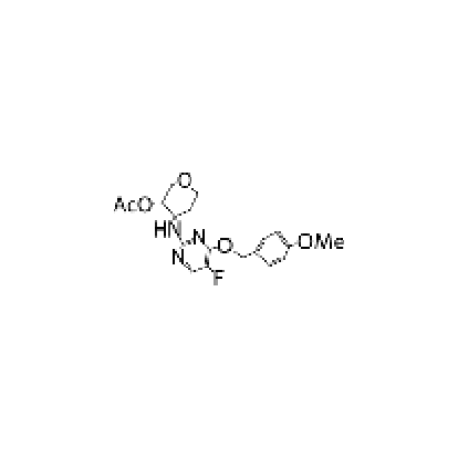 COc1ccc(COc2nc(N[C@@H]3CCOC[C@H]3OC(C)=O)ncc2F)cc1